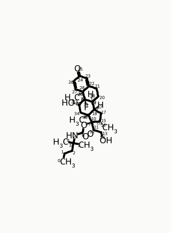 CCCC(C)(C)NC(=O)O[C@]1(C(=O)CO)[C@@H](C)C[C@H]2[C@@H]3CCC4=CC(=O)C=C[C@]4(C)[C@@]3(F)[C@@H](O)C[C@@]21C